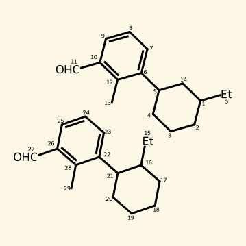 CCC1CCCC(c2cccc(C=O)c2C)C1.CCC1CCCCC1c1cccc(C=O)c1C